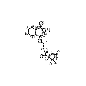 CC(C)=CC(C)(C(=O)OCCOC(=O)C1CCCCC1C(=O)O)C(C)(C)C